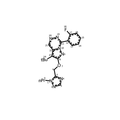 CCCn1ncnc1COc1nn2c(-c3ccccc3F)nncc2c1C(C)(C)C